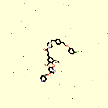 Cc1cc(C=CC(=O)N2CCN(Cc3ccc(CCOc4cccc(Cl)c4)cc3)CC2)cc(C)c1Oc1ccc(OCc2ccncc2)cn1